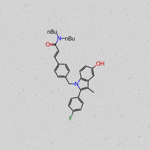 CCCCN(CCCC)C(=O)C=Cc1ccc(Cn2c(-c3ccc(F)cc3)c(C)c3cc(O)ccc32)cc1